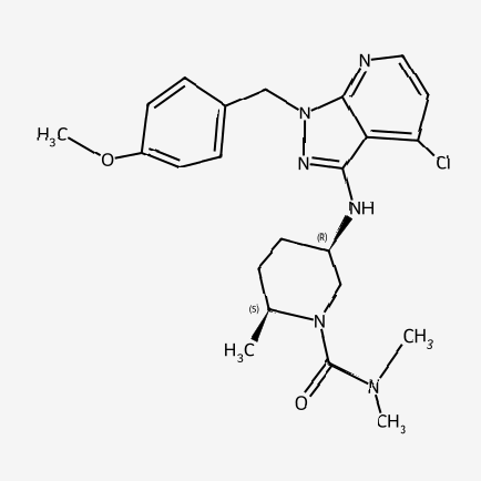 COc1ccc(Cn2nc(N[C@@H]3CC[C@H](C)N(C(=O)N(C)C)C3)c3c(Cl)ccnc32)cc1